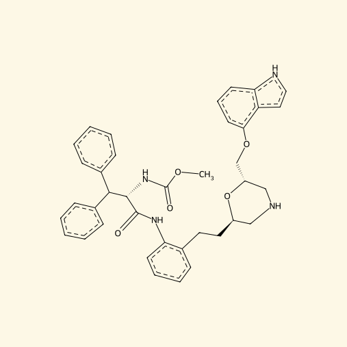 COC(=O)N[C@H](C(=O)Nc1ccccc1CC[C@@H]1CNC[C@@H](COc2cccc3[nH]ccc23)O1)C(c1ccccc1)c1ccccc1